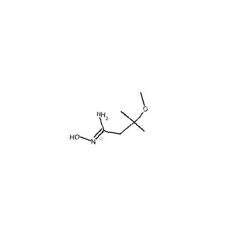 COC(C)(C)C/C(N)=N/O